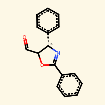 O=CC1OC(c2ccccc2)=N[C@H]1c1ccccc1